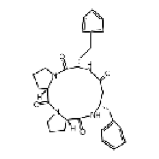 O=C1C[C@H](Cc2ccccc2)NC(=O)[C@@H]2CCCN2C(=O)[C@@H]2CCCN2C(=O)[C@H](CCc2ccccc2)N1